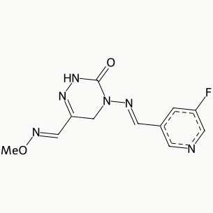 CON=CC1=NNC(=O)N(N=Cc2cncc(F)c2)C1